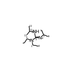 CCN(CC)C(=NC(C)C)NC(C)C